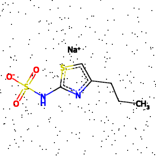 CCCc1csc(NS(=O)(=O)[O-])n1.[Na+]